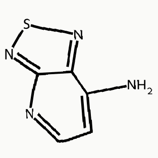 Nc1ccnc2nsnc12